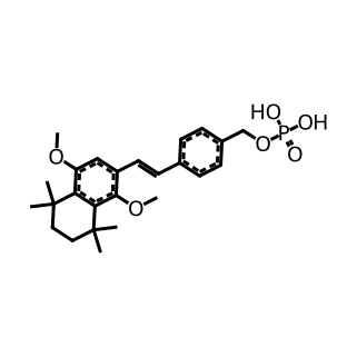 COc1cc(C=Cc2ccc(COP(=O)(O)O)cc2)c(OC)c2c1C(C)(C)CCC2(C)C